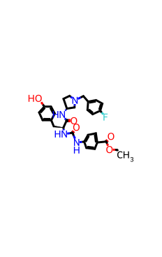 CCOC(=O)c1ccc(NC(=O)N[C@@H](Cc2ccc(O)cc2)C(=O)N[C@H]2CCN(Cc3ccc(F)cc3)C2)cc1